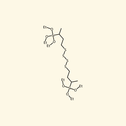 CCO[Si](OCC)(OCC)C(C)CCSSSSCCC(C)[Si](OCC)(OCC)OCC